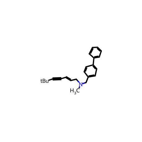 CN(CC=CC#CC(C)(C)C)Cc1ccc(-c2ccccc2)cc1